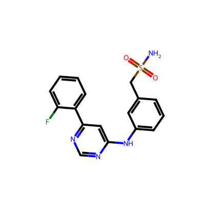 NS(=O)(=O)Cc1cccc(Nc2cc(-c3ccccc3F)ncn2)c1